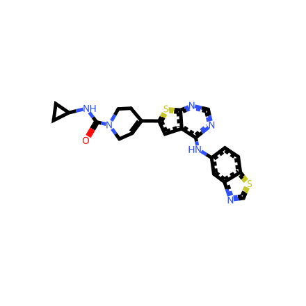 O=C(NC1CC1)N1CC=C(c2cc3c(Nc4ccc5scnc5c4)ncnc3s2)CC1